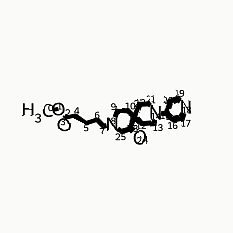 COC(=O)CCCCN1CCC2(CCN(c3ccncc3)CC2)C(=O)C1